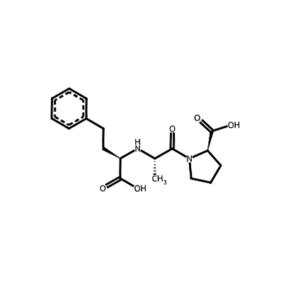 C[C@H](N[C@H](CCc1ccccc1)C(=O)O)C(=O)N1CCC[C@@H]1C(=O)O